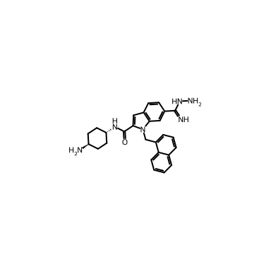 N=C(NN)c1ccc2cc(C(=O)N[C@H]3CC[C@H](N)CC3)n(Cc3cccc4ccccc34)c2c1